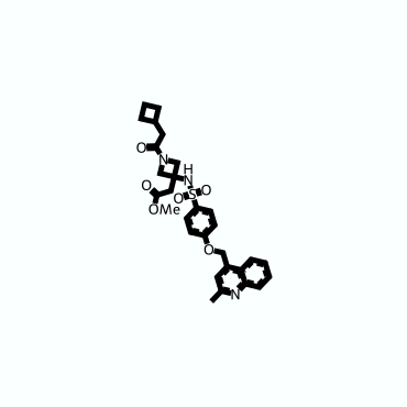 COC(=O)CC1(NS(=O)(=O)c2ccc(OCc3cc(C)nc4ccccc34)cc2)CN(C(=O)CC2CCC2)C1